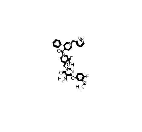 COc1cc(Oc2ncn(C[C@@]3(O)CCN(C(=O)[C@@H]4CCN(Cc5cccnn5)C[C@H]4c4ccccc4)CC3(F)F)c(=O)c2N)ccc1F